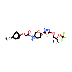 Cc1ccc(OCC(=O)N[C@H]2CC[C@H](c3nnc(OCC(C)OC(F)(F)F)o3)OC2)cc1